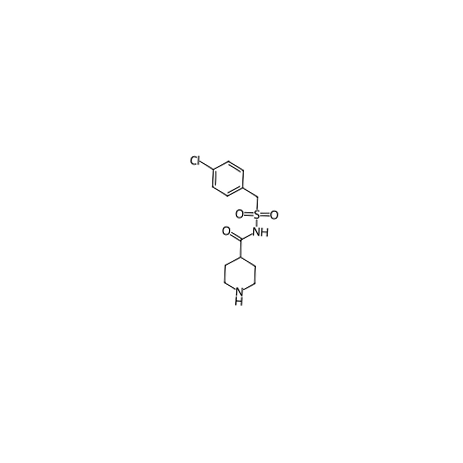 O=C(NS(=O)(=O)Cc1ccc(Cl)cc1)C1CCNCC1